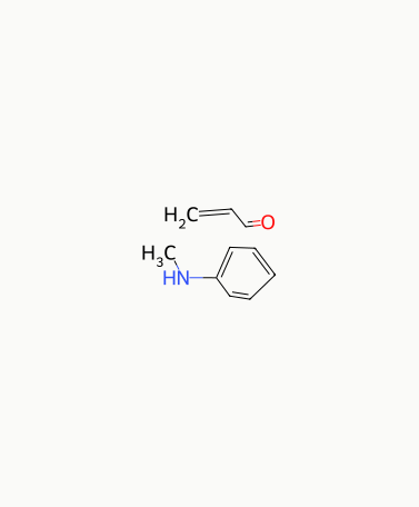 C=CC=O.CNc1ccccc1